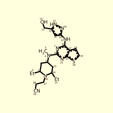 CCC1CC(N(C)c2nc(Nc3cc(CO)[nH]n3)c3ccsc3n2)CC(CC)N1CCC#N